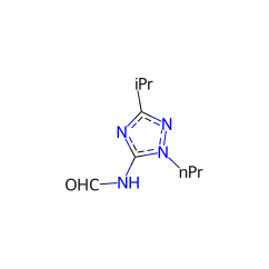 CCCn1nc(C(C)C)nc1NC=O